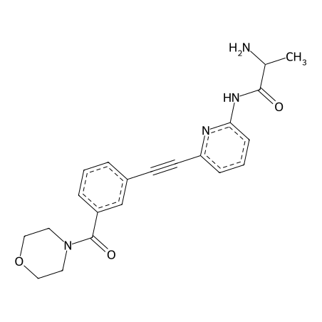 CC(N)C(=O)Nc1cccc(C#Cc2cccc(C(=O)N3CCOCC3)c2)n1